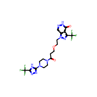 O=C(CCOCCn1nc(C(F)(F)F)c2c(=O)[nH]ncc21)N1CCN(c2nnc(C(F)(F)F)[nH]2)CC1